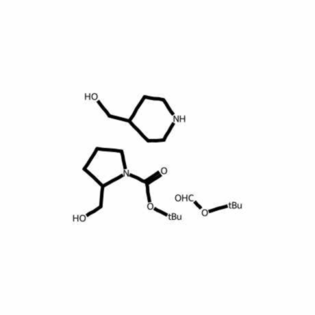 CC(C)(C)OC(=O)N1CCCC1CO.CC(C)(C)OC=O.OCC1CCNCC1